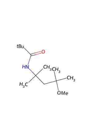 COC(C)(C)CC(C)(C)NC(=O)C(C)(C)C